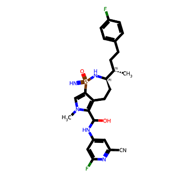 C[C@@H](CCc1ccc(F)cc1)[C@H]1CCc2c(cn(C)c2C(O)Nc2cc(F)nc(C#N)c2)S(=N)(=O)N1